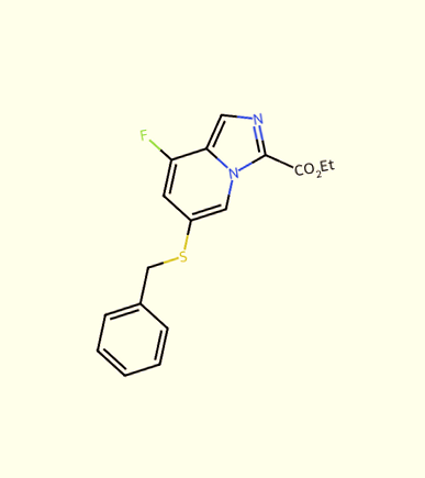 CCOC(=O)c1ncc2c(F)cc(SCc3ccccc3)cn12